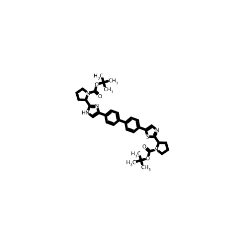 CC(C)(C)OC(=O)N1CCCC1c1nc(-c2ccc(-c3ccc(-c4cnc(C5CCCN5C(=O)OC(C)(C)C)s4)cc3)cc2)c[nH]1